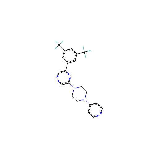 FC(F)(F)c1cc(-c2cncc(N3CCN(c4ccncc4)CC3)n2)cc(C(F)(F)F)c1